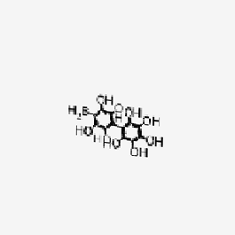 Bc1c(O)c(O)c(-c2c(O)c(O)c(O)c(O)c2O)c(O)c1O